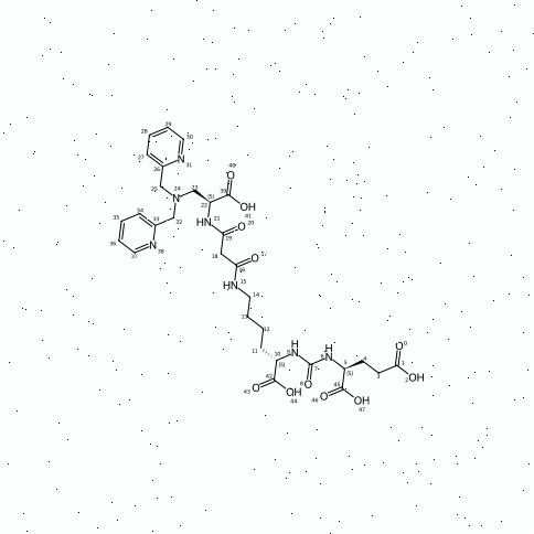 O=C(O)CC[C@H](NC(=O)N[C@@H](CCCCNC(=O)CC(=O)N[C@@H](CN(Cc1ccccn1)Cc1ccccn1)C(=O)O)C(=O)O)C(=O)O